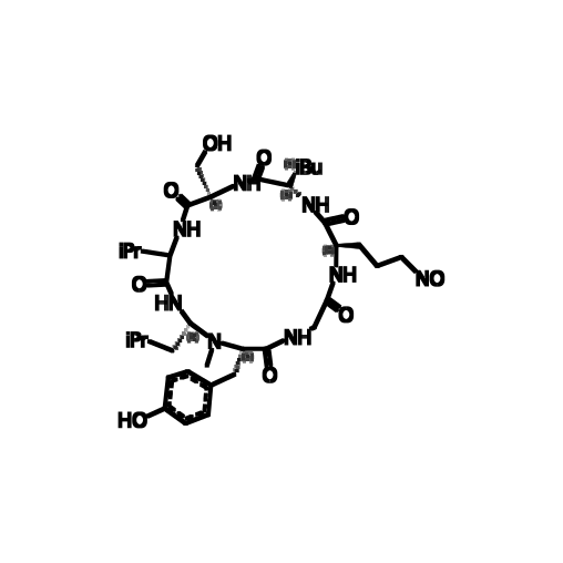 CC[C@H](C)[C@@H]1NC(=O)[C@@H](CCCN=O)NC(=O)CNC(=O)[C@H](Cc2ccc(O)cc2)N(C)[C@H](CC(C)C)NC(=O)C(C(C)C)NC(=O)[C@H](CO)NC1=O